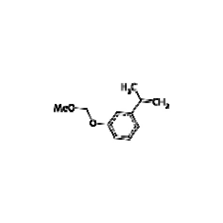 C=C(C)c1cccc(OCOC)c1